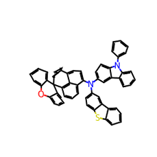 c1ccc(-n2c3ccccc3c3cc(N(c4ccc5sc6ccccc6c5c4)c4ccc5c6c(cccc46)C4(c6ccccc6Oc6ccccc64)c4ccccc4-5)ccc32)cc1